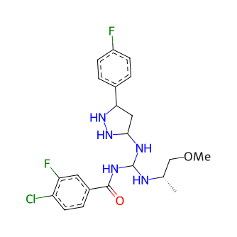 COC[C@H](C)NC(NC(=O)c1ccc(Cl)c(F)c1)NC1CC(c2ccc(F)cc2)NN1